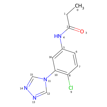 CCC(=O)Nc1ccc(Cl)c(-n2cnnc2)c1